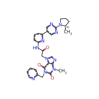 C[C@@H]1CCCN1c1ncc(-c2cccc(NC(=O)Cn3cnc4c3c(=O)n(Cc3ccccn3)c(=O)n4C)n2)cn1